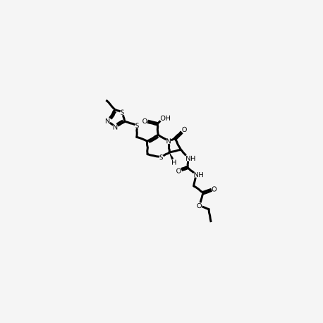 CCOC(=O)CNC(=O)NC1C(=O)N2C(C(=O)O)=C(CSc3nnc(C)s3)CS[C@@H]12